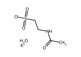 CC(=O)NCCS(=O)(=O)[O-].O.[K+]